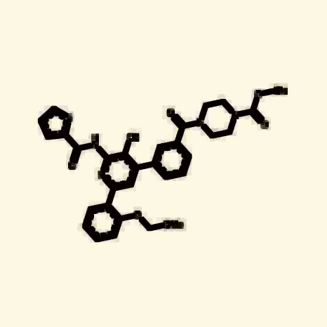 COCOc1ccccc1-c1cc(-c2cccc(C(=O)N3CCN(C(=O)OC(C)(C)C)CC3)c2)c(C#N)c(NC(=O)c2cccs2)n1